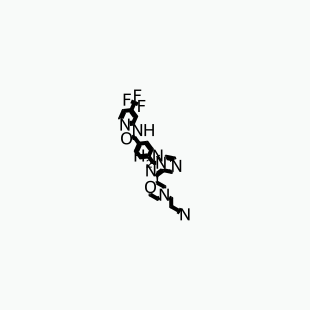 N#CCCN1CCO[C@@H](C2=C3C=NC=C[N+]3(N)C(c3ccc(C(=O)Nc4cc(C(F)(F)F)ccn4)cc3)=N2)C1